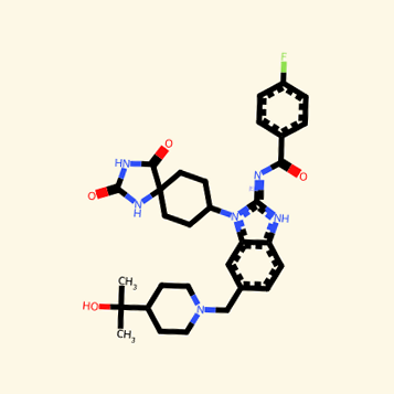 CC(C)(O)C1CCN(Cc2ccc3[nH]/c(=N\C(=O)c4ccc(F)cc4)n(C4CCC5(CC4)NC(=O)NC5=O)c3c2)CC1